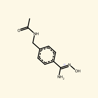 CC(=O)NCc1ccc(/C(N)=N/O)cc1